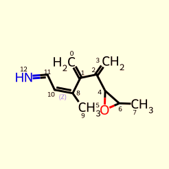 C=C(C(=C)C1OC1C)/C(C)=C\C=N